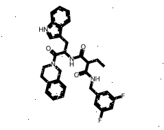 CCC(C(=O)NCc1cc(F)cc(F)c1)C(=O)NC(Cc1c[nH]c2ccccc12)C(=O)N1CCc2ccccc2C1